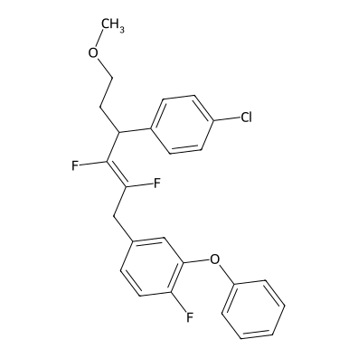 COCCC(C(F)=C(F)Cc1ccc(F)c(Oc2ccccc2)c1)c1ccc(Cl)cc1